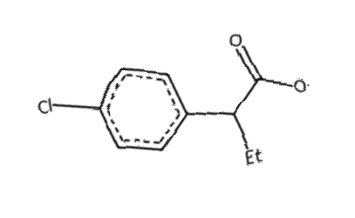 CCC(C([O])=O)c1ccc(Cl)cc1